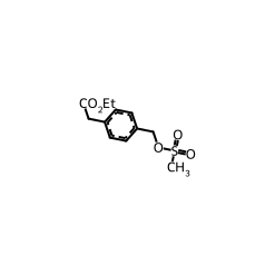 CCOC(=O)Cc1ccc(COS(C)(=O)=O)cc1